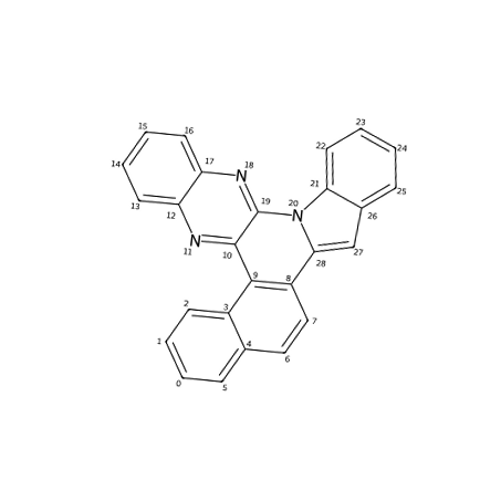 c1ccc2c(c1)ccc1c2c2nc3ccccc3nc2n2c3ccccc3cc12